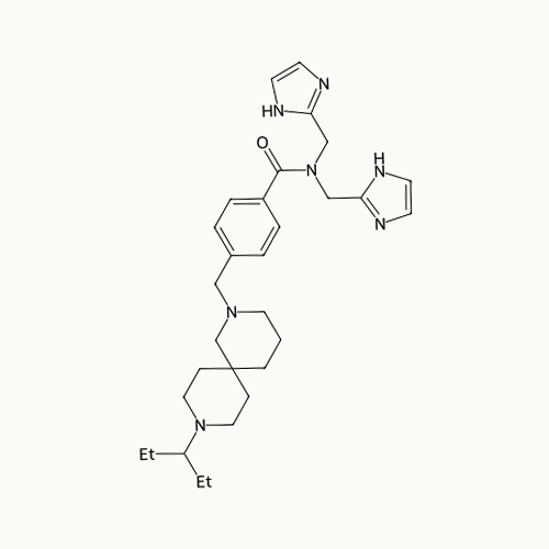 CCC(CC)N1CCC2(CCCN(Cc3ccc(C(=O)N(Cc4ncc[nH]4)Cc4ncc[nH]4)cc3)C2)CC1